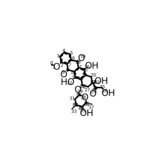 COc1cccc2c1C(=O)c1c(O)c3c(c(O)c1C2=O)C[C@@](O)(C(=O)CO)C[C@@H]3OC1C[C@H](C)[C@H](O)[C@H](C)O1